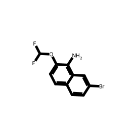 Nc1c(OC(F)F)ccc2ccc(Br)cc12